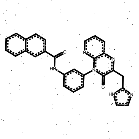 O=C(Nc1cccc(-n2c(=O)c(Cc3ncc[nH]3)nc3cccnc32)c1)c1ccc2ccccc2c1